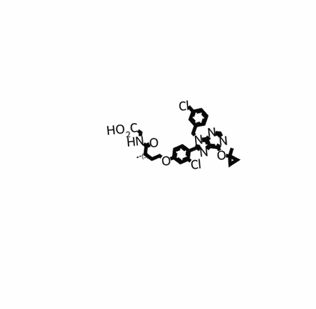 C[C@@H](CCOc1ccc(-c2nc3c(OC4(C)CC4)ncnc3n2Cc2cccc(Cl)c2)c(Cl)c1)C(=O)NCC(=O)O